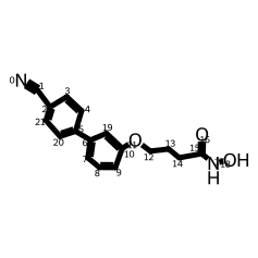 N#Cc1ccc(-c2cccc(OCCCC(=O)NO)c2)cc1